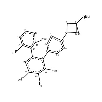 CCCCC12CC(c3ccc(-c4c(-c5c(F)cccc5F)cc(F)c(F)c4F)cc3)(C1)C2